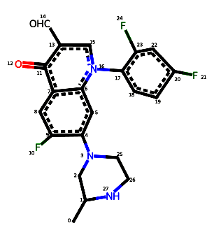 CC1CN(c2cc3c(cc2F)c(=O)c(C=O)cn3-c2ccc(F)cc2F)CCN1